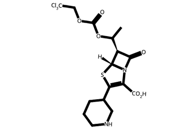 CC(OC(=O)OCC(Cl)(Cl)Cl)[C@H]1C(=O)N2C(C(=O)O)=C(C3CCCNC3)S[C@H]12